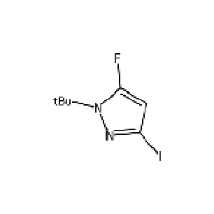 CC(C)(C)n1nc(I)cc1F